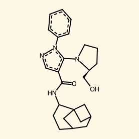 O=C(NC1CCC2CC3CC1(C2)C3)c1cnn(-c2ccccc2)c1N1CCC[C@H]1CO